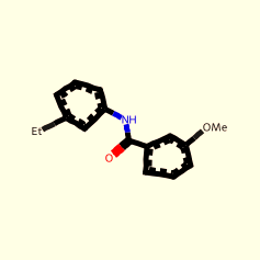 CCc1cccc(NC(=O)c2cccc(OC)c2)c1